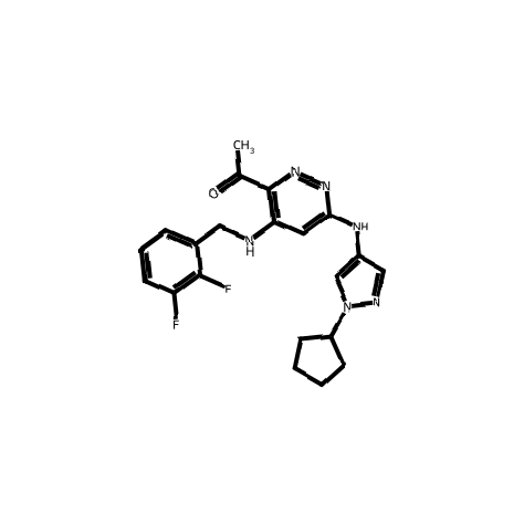 CC(=O)c1nnc(Nc2cnn(C3CCCC3)c2)cc1NCc1cccc(F)c1F